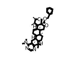 C[C@@H]1[C@H]2C3=CC[C@H]4[C@]5(C)Cc6c(N(C)C)ncnc6C(C)(C)[C@H]5CC[C@]4(C)[C@]3(C)CC[C@@]2(C(=O)OCc2ccccc2)CC[C@@H]1C